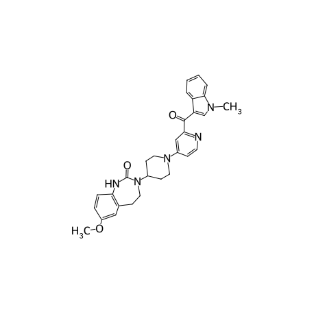 COc1ccc2c(c1)CCN(C1CCN(c3ccnc(C(=O)c4cn(C)c5ccccc45)c3)CC1)C(=O)N2